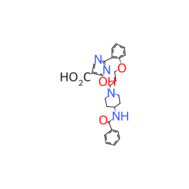 O=C(NC1CCN(CCCOc2ccccc2-c2ncc(C(=O)O)c(O)n2)CC1)c1ccccc1